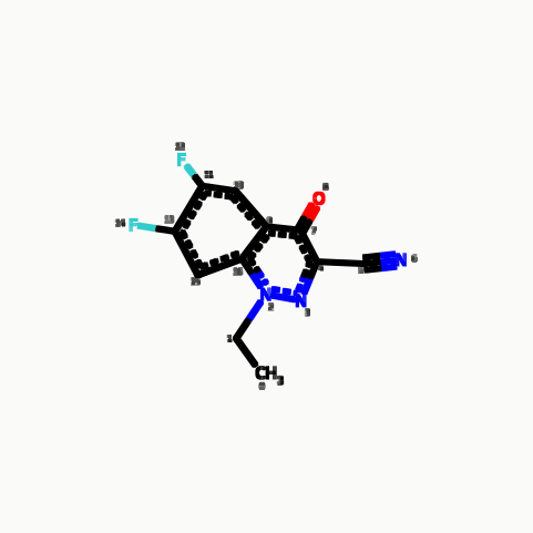 CCn1nc(C#N)c(=O)c2cc(F)c(F)cc21